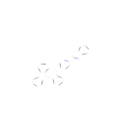 Fc1cccc2c3ccccc3n(-c3ccccc3Nc3ccc(-c4nc5ccccc5o4)nc3)c12